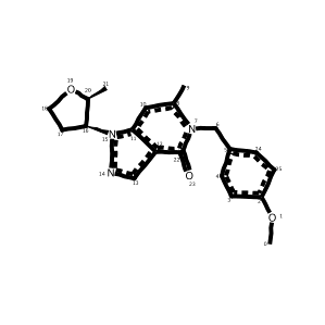 COc1ccc(Cn2c(C)cc3c(cnn3[C@H]3CCO[C@H]3C)c2=O)cc1